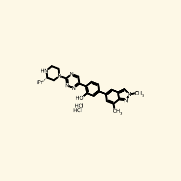 Cc1cc(-c2ccc(-c3cnc(N4CCN[C@@H](C(C)C)C4)nn3)c(O)c2)cc2cn(C)nc12.Cl.Cl